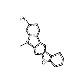 CC(C)c1ccc2c3cc4c(cc3n(C)c2c1)oc1ccccc14